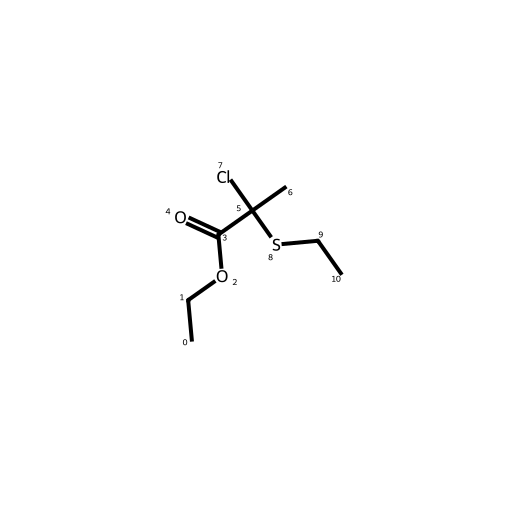 CCOC(=O)C(C)(Cl)SCC